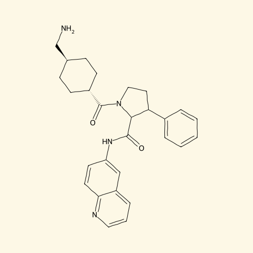 NC[C@H]1CC[C@H](C(=O)N2CCC(c3ccccc3)C2C(=O)Nc2ccc3ncccc3c2)CC1